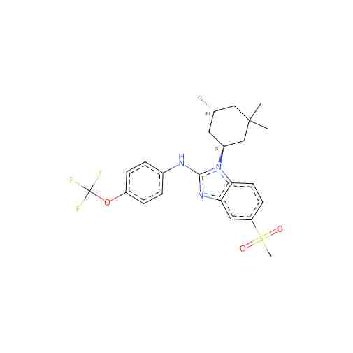 C[C@H]1C[C@H](n2c(Nc3ccc(OC(F)(F)F)cc3)nc3cc(S(C)(=O)=O)ccc32)CC(C)(C)C1